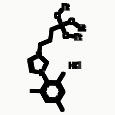 CCO[Si](CCCN1C=CN(c2c(C)cc(C)cc2C)C1)(OCC)OCC.Cl